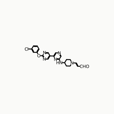 O=CC=CN1CCC(Nc2cncc(-c3cnc(Oc4cccc(Cl)c4)nc3)n2)CC1